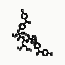 CCN(C)CC(OC(=O)C(C)(C)Oc1ccc(C(=O)c2ccc(Cl)cc2)cc1)OC(=O)C(C)(C)Oc1ccc(C(=O)c2ccc(Cl)cc2)cc1